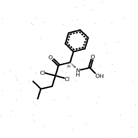 CC(C)CC(Cl)(Cl)C(=O)[C@@H](NC(=O)O)c1ccccc1